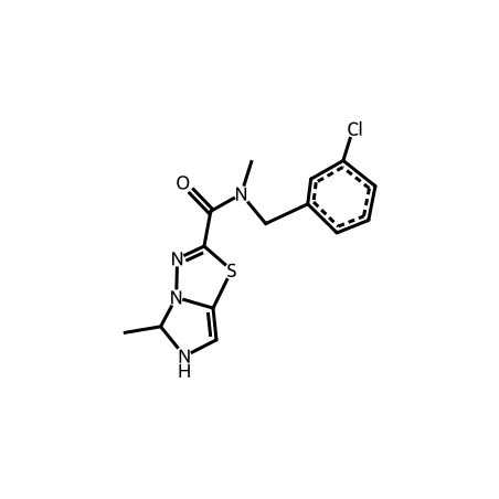 CC1NC=C2SC(C(=O)N(C)Cc3cccc(Cl)c3)=NN21